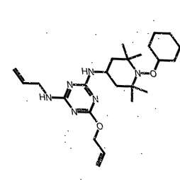 C=CCNc1nc(NC2CC(C)(C)N(OC3CCCCC3)C(C)(C)C2)nc(OCC=C)n1